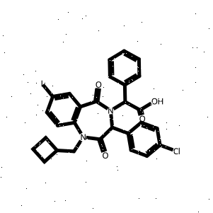 O=C(O)C(c1ccccc1)N1C(=O)c2cc(I)ccc2N(CC2CCC2)C(=O)C1c1ccc(Cl)cc1